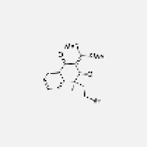 CSC(SC)=C1C(=O)c2ccccc2[C@](C)(CCC(C)C)C1=O